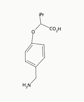 CC(C)C(Oc1ccc(CN)cc1)C(=O)O